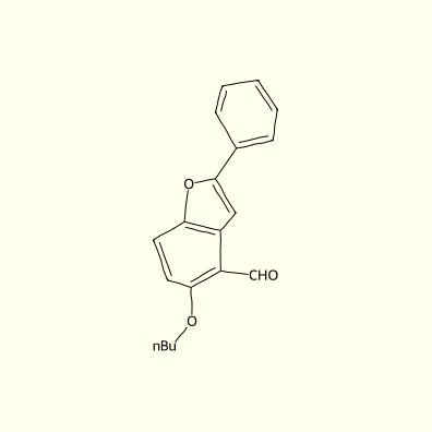 CCCCOc1ccc2oc(-c3ccccc3)cc2c1C=O